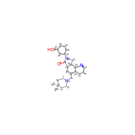 O=C1c2cc(CN3CCC(F)(F)CC3)c3cccnc3c2CN1c1cccc(O)c1